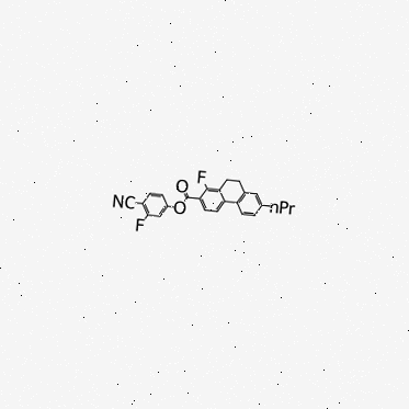 CCCc1ccc2c(c1)CCc1c-2ccc(C(=O)Oc2ccc(C#N)c(F)c2)c1F